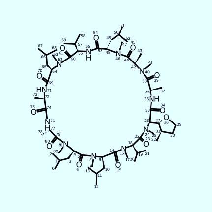 CC(C)C[C@@H]1C(=O)N(C)[C@H](CC(C)C)C(=O)N(C)[C@H](C(C)C)C(=O)N(C)[C@H]([C@@H]2OCC[C@H]2C)C(=O)N[C@H](C)C(=O)N(C)[C@H](C)C(=O)N(C)[C@@H](CC(C)C)C(=O)N[C@H](C(C)C)C(=O)N(C)[C@H](CC(C)C)C(=O)N[C@H](C)C(=O)N[C@@H](C)C(=O)N1C